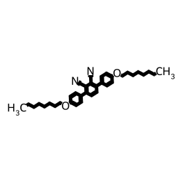 CCCCCCCCOc1ccc(-c2ccc(-c3ccc(OCCCCCCCC)cc3)c(C#N)c2C#N)cc1